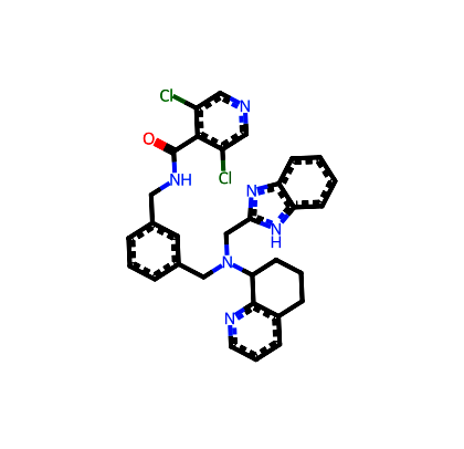 O=C(NCc1cccc(CN(Cc2nc3ccccc3[nH]2)C2CCCc3cccnc32)c1)c1c(Cl)cncc1Cl